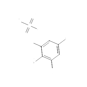 Fc1cc(F)c(Br)c(F)c1.O=S(=O)(Cl)Cl